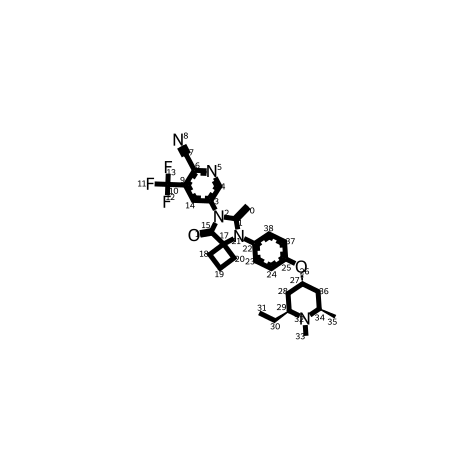 C=C1N(c2cnc(C#N)c(C(F)(F)F)c2)C(=O)C2(CCC2)N1c1ccc(O[C@H]2C[C@H](CC)N(C)[C@H](C)C2)cc1